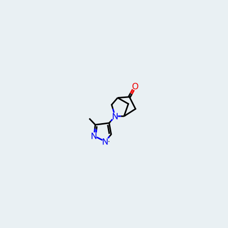 CC1=N[N]C=C1N1CC2CC1CC2=O